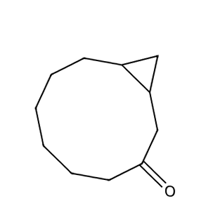 O=C1CCCCCCC2CC2C1